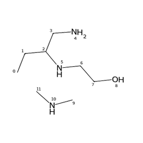 CCC(CN)NCCO.CNC